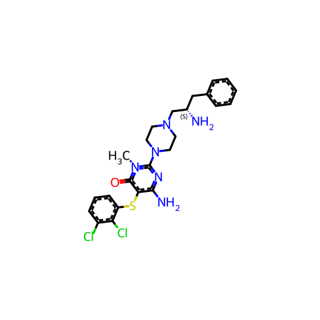 Cn1c(N2CCN(C[C@@H](N)Cc3ccccc3)CC2)nc(N)c(Sc2cccc(Cl)c2Cl)c1=O